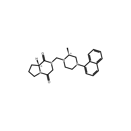 C[C@H]1CN(c2cccc3ccccc23)CCN1CN1CC(=O)N2CCC[C@@H]2C1=O